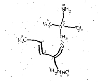 CC=CC(N)=O.C[N+](C)(C)N.Cl